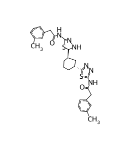 Cc1cccc(CC(=O)NC2=NNC([C@@H]3CCC[C@@H](c4nnc(NC(=O)Cc5cccc(C)c5)s4)C3)S2)c1